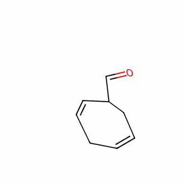 O=CC1C=CCC=CC1